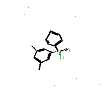 Cc1cc(C)cc([Si](Cl)(c2ccccc2)C(C)C)c1